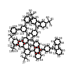 CC(C)(C)c1cc(-c2cc3c4c(c2)N(c2c(-c5ccccc5)cc(C(C)(C)C)cc2-c2ccccc2)c2cc(N(c5ccccc5)c5ccc(-n6c7ccccc7c7ccccc76)cc5)ccc2B4c2ccc(-n4c5ccc(C(C)(C)C)cc5c5cc(C(C)(C)C)ccc54)cc2N3c2cc(-c3ccccc3)cc(-c3ccccc3)c2)cc(C(C)(C)C)c1